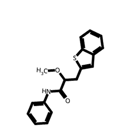 COC(Cc1cc2ccccc2s1)C(=O)Nc1ccccc1